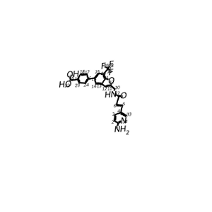 Nc1ccc(/C=C/C(=O)NCc2cc3cc(-c4ccc(C(O)O)cc4)cc(C(F)(F)F)c3o2)cn1